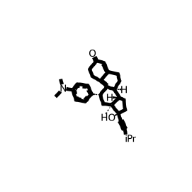 CC(C)C#C[C@]1(O)CC[C@H]2[C@@H]3CCC4=CC(=O)CCC4=C3[C@@H](c3ccc(N(C)C)cc3)C[C@@]21C